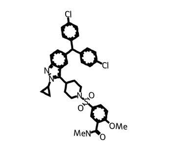 CNC(=O)c1cc(S(=O)(=O)N2CCC(c3c4cc(C(c5ccc(Cl)cc5)c5ccc(Cl)cc5)ccc4nn3C3CC3)CC2)ccc1OC